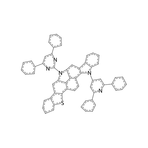 c1ccc(-c2cc(-n3c4ccccc4c4cc5c6c(ccc7c8sc9ccccc9c8cc(c76)n5-c5nc(-c6ccccc6)cc(-c6ccccc6)n5)c43)cc(-c3ccccc3)n2)cc1